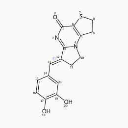 O=c1nc2n(c3c1SCC3)CC/C2=C\c1ccc(O)c(O)c1